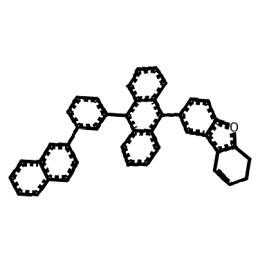 C1=Cc2c(oc3ccc(-c4c5ccccc5c(-c5cccc(-c6ccc7ccccc7c6)c5)c5ccccc45)cc23)CC1